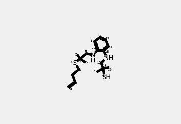 C=CCCSC(C)(C)CNc1ccccc1NCC(C)(C)S